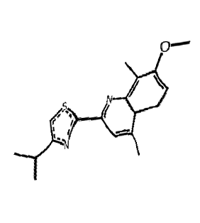 COC1=CCC2C(C)=CC(c3nc(C(C)C)cs3)=NC2=C1C